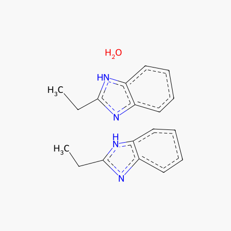 CCc1nc2ccccc2[nH]1.CCc1nc2ccccc2[nH]1.O